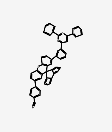 N#Cc1ccc(-c2ccc3c(c2)C2(c4cc(-c5cccc(-c6cc(-c7ccccc7)nc(-c7ccccc7)n6)c5)ccc4S3)c3ccccc3-c3ccccc32)cc1